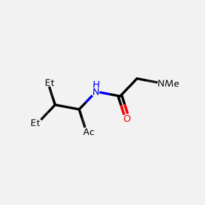 CCC(CC)C(NC(=O)CNC)C(C)=O